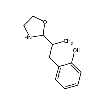 CC(Cc1ccccc1O)C1NCCO1